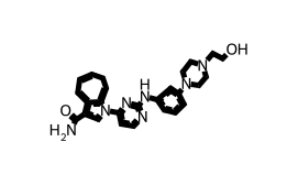 NC(=O)c1cn(-c2ccnc(Nc3cccc(N4CCN(CCO)CC4)c3)n2)c2c1=CC=CCC=2